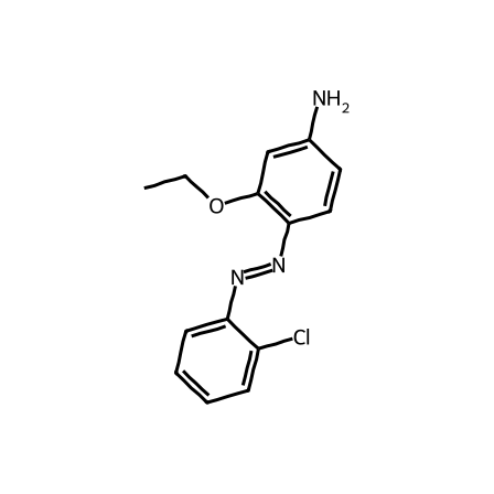 CCOc1cc(N)ccc1/N=N/c1ccccc1Cl